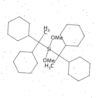 CO[Si](OC)(C(C)(C1CCCCC1)C1CCCCC1)C(C)(C1CCCCC1)C1CCCCC1